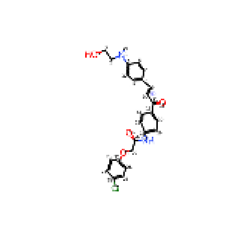 CN(CCO)c1ccc(/C=C/C(=O)c2ccc(NC(=O)COc3ccc(Cl)cc3)cc2)cc1